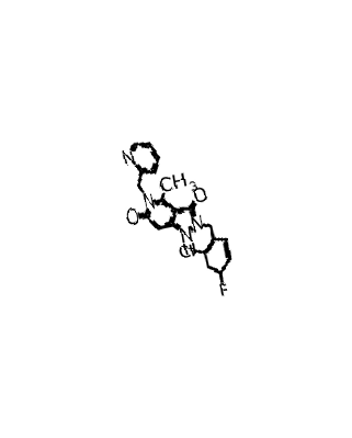 Cc1c2c(=O)n(CC3=C(Cl)CC(F)C=C3)[nH]c2cc(=O)n1Cc1ccccn1